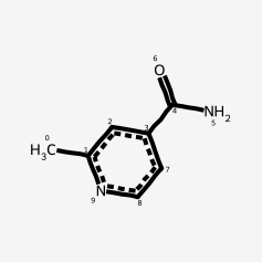 Cc1cc(C(N)=O)ccn1